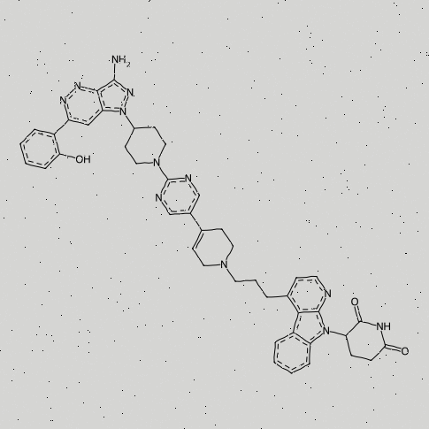 Nc1nn(C2CCN(c3ncc(C4=CCN(CCCc5ccnc6c5c5ccccc5n6C5CCC(=O)NC5=O)CC4)cn3)CC2)c2cc(-c3ccccc3O)nnc12